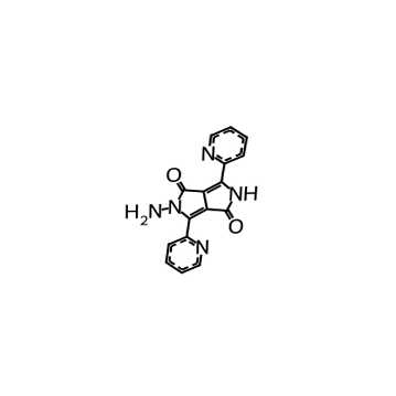 NN1C(=O)C2=C(c3ccccn3)NC(=O)C2=C1c1ccccn1